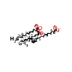 CCCCCCCCCCCC(=O)[O-].CCCCCCCCCCCC(=O)[O-].CCCCCCCCCCCC(=O)[O-].[Li+].[Li+].[Li+]